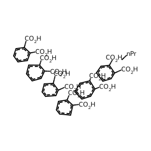 CCCC.O=C(O)c1ccccc1C(=O)O.O=C(O)c1ccccc1C(=O)O.O=C(O)c1ccccc1C(=O)O.O=C(O)c1ccccc1C(=O)O.O=C(O)c1ccccc1C(=O)O.O=C(O)c1ccccc1C(=O)O